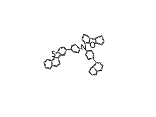 c1ccc2c(-c3ccc(N(c4ccc(-c5ccc6sc7c8ccccc8ccc7c6c5)cc4)c4cccc5c4oc4ccccc45)cc3)cccc2c1